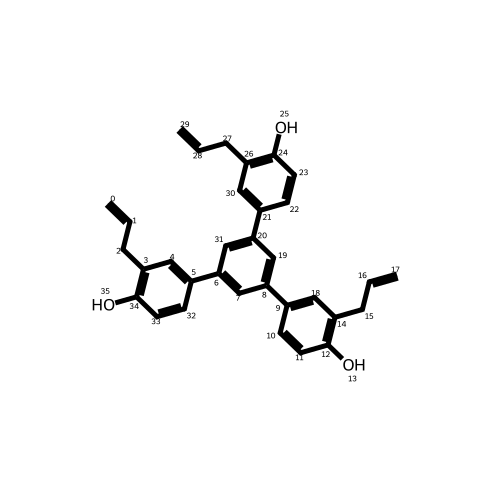 C=CCc1cc(-c2cc(-c3ccc(O)c(CC=C)c3)cc(-c3ccc(O)c(CC=C)c3)c2)ccc1O